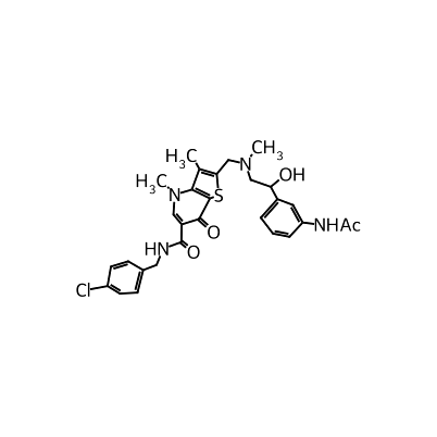 CC(=O)Nc1cccc(C(O)CN(C)Cc2sc3c(=O)c(C(=O)NCc4ccc(Cl)cc4)cn(C)c3c2C)c1